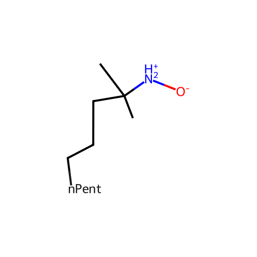 CCCCCCCCC(C)(C)[NH2+][O-]